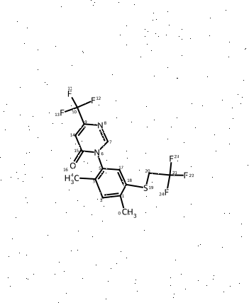 Cc1cc(C)c(-n2cnc(C(F)(F)F)cc2=O)cc1SCC(F)(F)F